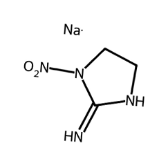 N=C1NCCN1[N+](=O)[O-].[Na]